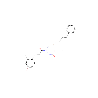 Cc1cc(O)cc(C)c1CCC(=O)N(CCSCCCc1ccccc1)NC(=O)OC(C)(C)C